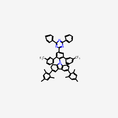 Cc1cc(C)c(C2=Cc3c(n(-c4c(-c5c#ccc(C(F)(F)F)c5)cc(-c5nc(-c6ccccc6)nc(-c6ccccc6)n5)cc4-c4cccc(C(F)(F)F)c4)c4ccc(-c5c(C)cc(C)cc5C)cc34)CC2)c(C)c1